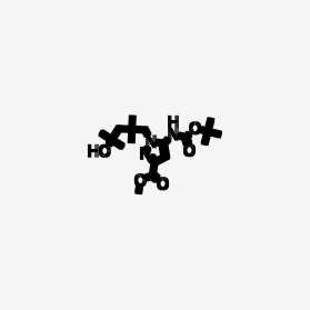 COC(=O)c1cc(NC(=O)OC(C)(C)C)n(CC(C)(C)CC(C)(C)O)n1